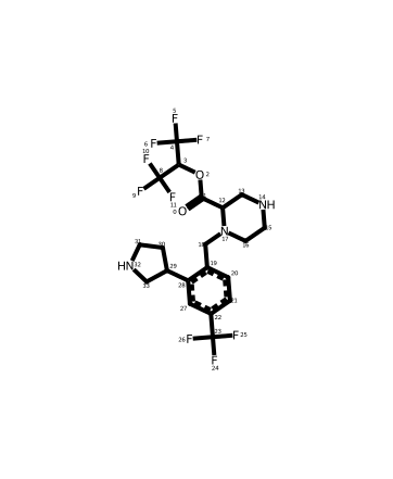 O=C(OC(C(F)(F)F)C(F)(F)F)C1CNCCN1Cc1ccc(C(F)(F)F)cc1C1CCNC1